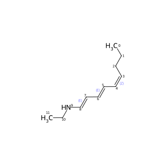 CCC\C=C/C=C/C=C/NCC